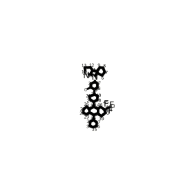 Cc1cc(-n2c3ccccc3c3cccnc32)ccc1-c1ccc(-c2c3ccccc3c(-c3ccccc3)c3ccc(C(F)(F)F)cc23)cc1